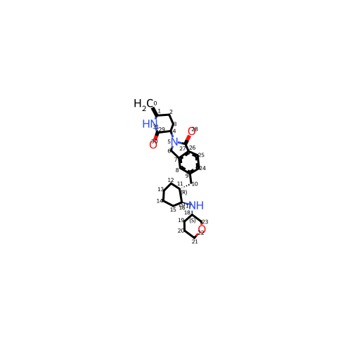 C=C1CCC(N2Cc3cc(C[C@H]4CCCC[C@@H]4N[C@H]4CCCOC4)ccc3C2=O)C(=O)N1